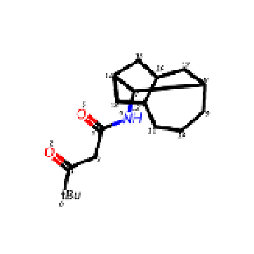 CC(C)(C)C(=O)CC(=O)NC1C2CCCC3CC1CC3C2